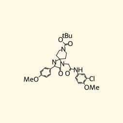 COc1ccc(C2=NC3(CCN(C(=O)OC(C)(C)C)CC3)N(CC(=O)Nc3ccc(OC)c(Cl)c3)C2=O)cc1